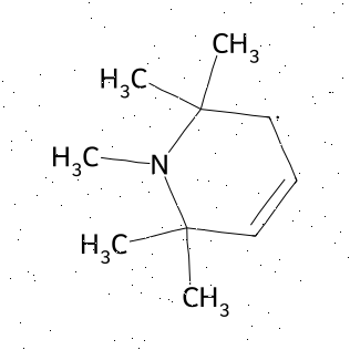 CN1C(C)(C)[CH]C=CC1(C)C